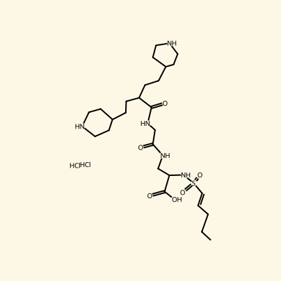 CCCC=CS(=O)(=O)NC(CNC(=O)CNC(=O)C(CCC1CCNCC1)CCC1CCNCC1)C(=O)O.Cl.Cl